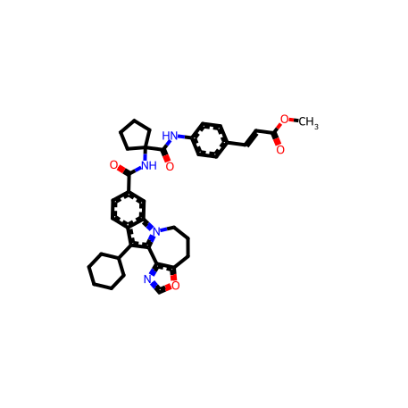 COC(=O)/C=C/c1ccc(NC(=O)C2(NC(=O)c3ccc4c(C5CCCCC5)c5n(c4c3)CCCc3ocnc3-5)CCCC2)cc1